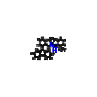 CC(C)c1cccc(C(C)C)c1N/N=C/c1ccccc1C1c2ccccc2-c2ccccc21